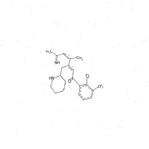 CC(=N)/N=C(C)\C(=C\C(=O)c1cccc(C(F)(F)F)c1Cl)CC1CCCCN1